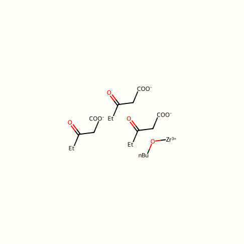 CCC(=O)CC(=O)[O-].CCC(=O)CC(=O)[O-].CCC(=O)CC(=O)[O-].CCCC[O][Zr+3]